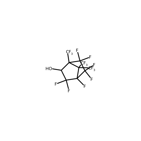 OC1C(F)(F)C2(F)C(F)(F)C(F)(F)C1(C(F)(F)F)C2(C(F)(F)F)C(F)(F)F